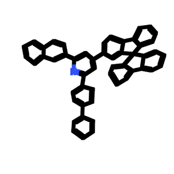 c1ccc(-c2ccc(-c3cc(-c4ccc5c(c4)C4(c6ccccc6-c6ccccc64)c4ccccc4-5)cc(-c4ccc5ccccc5c4)n3)cc2)cc1